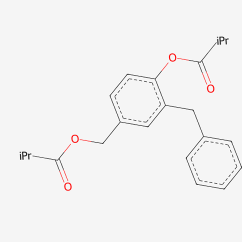 CC(C)C(=O)OCc1ccc(OC(=O)C(C)C)c(Cc2ccccc2)c1